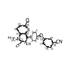 Cn1c(=O)c(C#N)c(N2CCC(Oc3cccc(C#N)c3)CC2)c2nc(Cl)ccc21